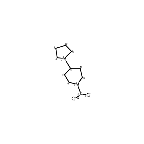 ClP(Cl)N1CCC(N2CCCC2)CC1